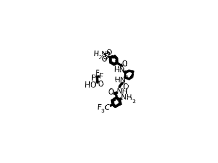 Nc1ccc(C(F)(F)F)cc1C(=O)NCC(=O)N[C@@H]1CCCC[C@@H]1NC(=O)c1ccc(S(N)(=O)=O)cc1.O=C(O)C(F)(F)F